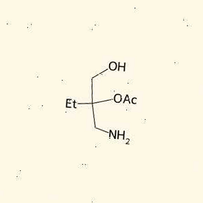 CCC(CN)(CO)OC(C)=O